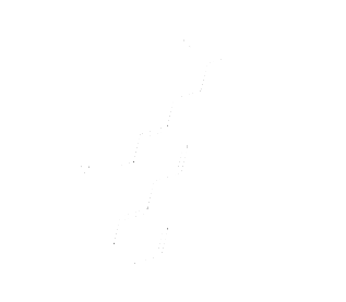 COc1cc(CCC(N)C(=O)O)ccc1-c1ccccc1.Cl